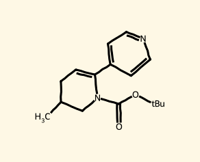 CC1CC=C(c2ccncc2)N(C(=O)OC(C)(C)C)C1